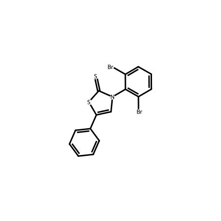 S=c1sc(-c2ccccc2)cn1-c1c(Br)cccc1Br